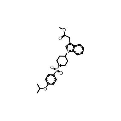 COC(=O)Cc1cn(C2CCN(S(=O)(=O)c3ccc(OC(C)C)cc3)CC2)c2ccccc12